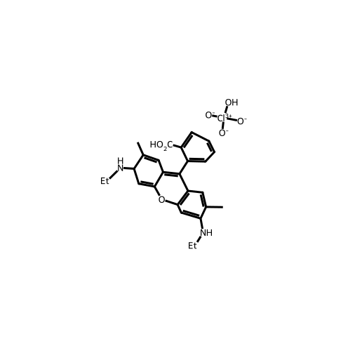 CCNc1cc2c(cc1C)C(c1ccccc1C(=O)O)=C1C=C(C)C(NCC)C=C1O2.[O-][Cl+3]([O-])([O-])O